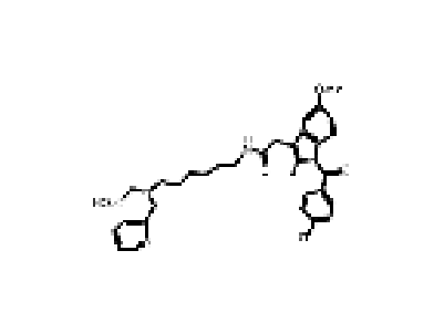 COc1ccc2c(c1)c(CC(=O)NCCCCCCN(CC(=O)O)Cc1ccccn1)c(C)n2C(=O)c1ccc(Cl)cc1